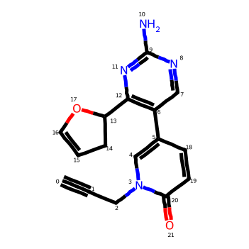 C#CCn1cc(-c2cnc(N)nc2C2CC=CO2)ccc1=O